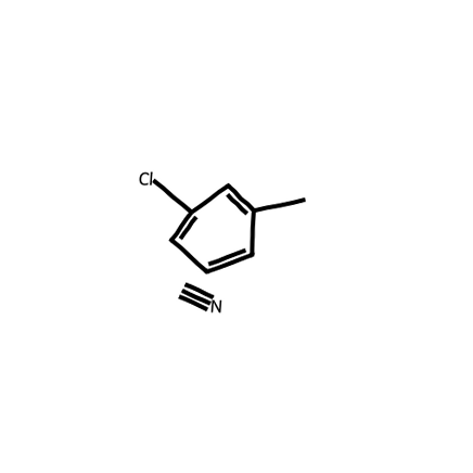 C#N.Cc1cccc(Cl)c1